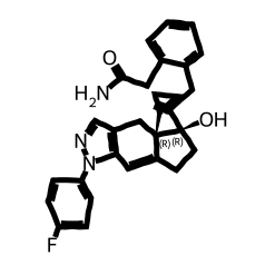 C=C(Cc1ccccc1CC(N)=O)[C@]1(O)CCC2=Cc3c(cnn3-c3ccc(F)cc3)C[C@@]21C1CC1